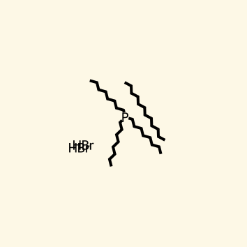 Br.Br.CCCCCCCCCCCC.CCCCCCCCP(CCCCCCCC)CCCCCCCC